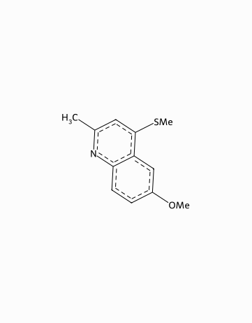 [CH2]Sc1cc(C)nc2ccc(OC)cc12